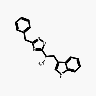 N[C@@H](Cc1c[nH]c2ccccc12)c1nc(Cc2ccccc2)no1